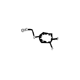 O=CCOc1ccc(F)c(F)c1